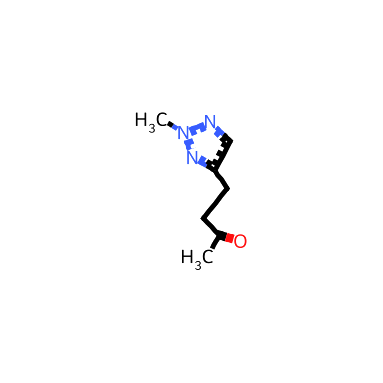 CC(=O)CCc1cnn(C)n1